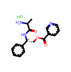 CC(N)C(=O)N[C@H](COC(=O)c1cccnc1)c1ccccc1.Cl